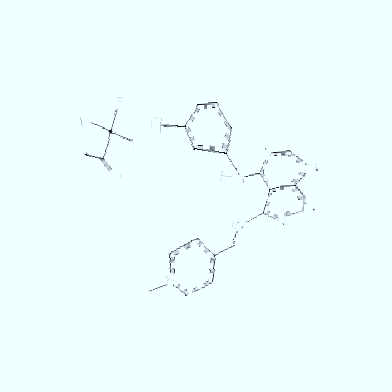 C[n+]1ccc(CNc2n[nH]c3ncnc(Nc4cccc(Cl)c4)c23)cc1.O=C([O-])C(F)(F)F